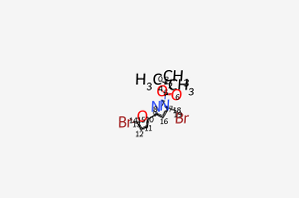 CC(C)(C)OC(=O)n1nc(-c2ccc(Br)o2)cc1CBr